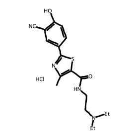 CCN(CC)CCNC(=O)c1sc(-c2ccc(O)c(C#N)c2)nc1C.Cl